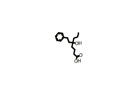 CCCC(O)(CCCC(=O)O)CCc1ccccc1